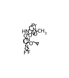 Cc1nc(C(CC(C)C)NC(=O)Oc2ccc(N3CC(F)(F)C3)c(OCC3CC3)n2)no1